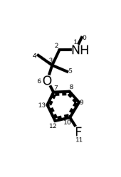 CNCC(C)(C)Oc1ccc(F)cc1